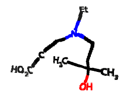 CCN(CCC(=O)O)CC(C)(C)O